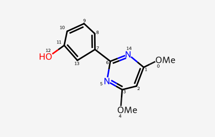 COc1cc(OC)nc(-c2cccc(O)c2)n1